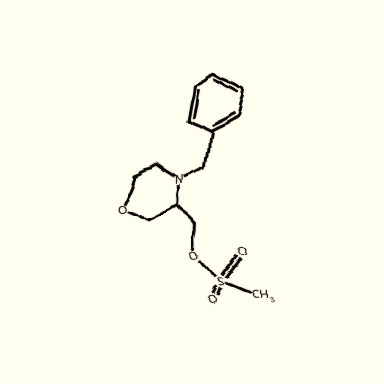 CS(=O)(=O)OCC1COCCN1Cc1ccccc1